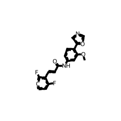 COc1cc(NC(=O)C=Cc2c(F)cccc2F)ccc1-c1cnco1